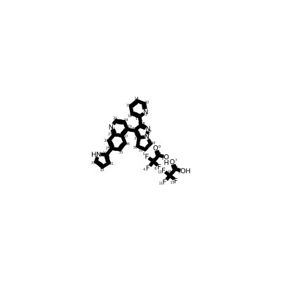 O=C(O)C(F)(F)F.O=C(O)C(F)(F)F.c1ccc(-c2nn3c(c2-c2ccnc4cc(-c5ccc[nH]5)ccc24)CCC3)nc1